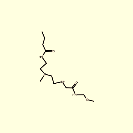 CCCC(=O)NCCN(C)CCNCC(=O)NCSC